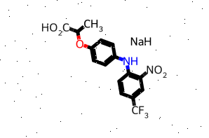 CC(Oc1ccc(Nc2ccc(C(F)(F)F)cc2[N+](=O)[O-])cc1)C(=O)O.[NaH]